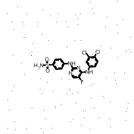 NS(=O)(=O)c1ccc(Nc2ncc(F)c(Nc3ccc(Cl)c(Cl)c3)n2)cc1